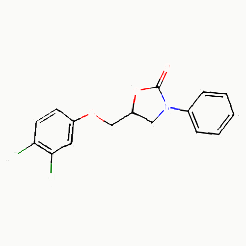 O=C1OC(COc2ccc(F)c(Cl)c2)CN1c1ccccc1